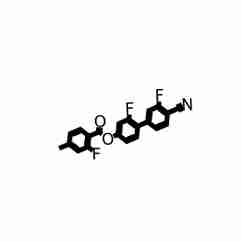 Cc1ccc(C(=O)Oc2ccc(-c3ccc(C#N)c(F)c3)c(F)c2)c(F)c1